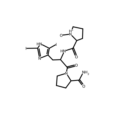 NC(=O)C1CCCN1C(=O)C(Cc1nc(I)[nH]c1I)NC(=O)C1CCC[NH+]1[O-]